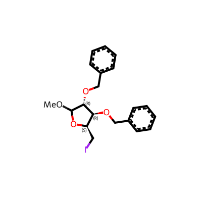 COC1O[C@H](CI)[C@H](OCc2ccccc2)[C@H]1OCc1ccccc1